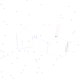 CCCC[N+]1(n2ccccc2=O)C=CN(C)C1